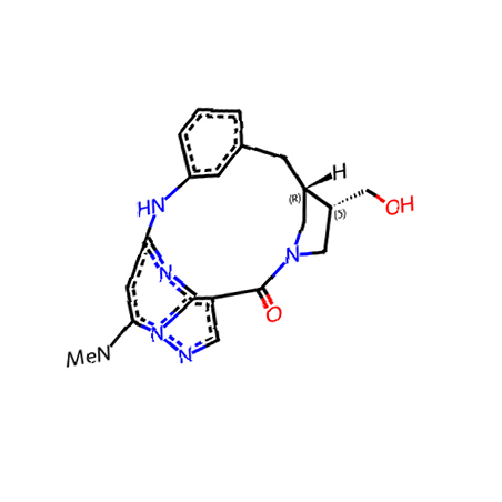 CNc1cc2nc3c(cnn13)C(=O)N1C[C@@H](CO)[C@@H](Cc3cccc(c3)N2)C1